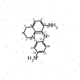 NC1=CC=C2CCCN=C2/C1=N\c1ccc(N)cc1